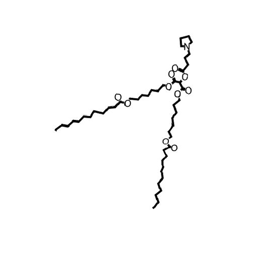 CCCCCCCCCCCC(=O)OCCCCCCCOC(=O)C(OC(=O)CCCN1CCCC1)C(=O)OCCCCCCCOC(=O)CCCCCCCCCCC